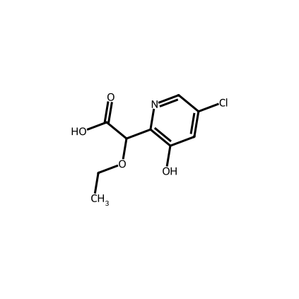 CCOC(C(=O)O)c1ncc(Cl)cc1O